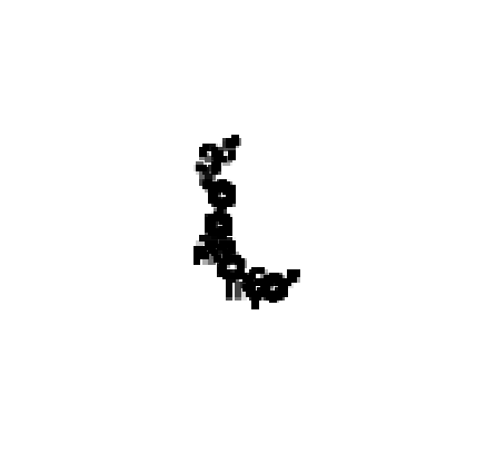 CCOC(=O)CN(C)Cc1cccc(-c2ccc(S(=O)(=O)N[C@H]3CC[C@H](C(=O)N[C@H](C)c4ccc(F)cc4)CC3)cc2)c1